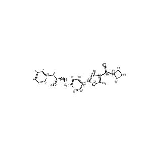 O=C(Cc1ccccc1)NCc1ccc(-c2nc(C(=O)N3CCC3)co2)cc1